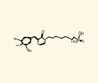 CC(C)(C)c1cc(C=C2SC=CN(CCCCCCCP(=O)(O)O)C2=O)cc(C(C)(C)C)c1O